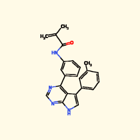 C=C(C)C(=O)Nc1cccc(-c2ncnc3[nH]cc(-c4cccc(C)c4)c23)c1